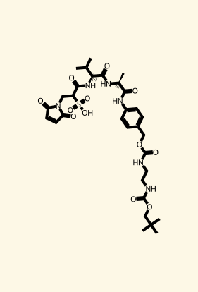 CC(C)[C@H](NC(=O)C(CN1C(=O)C=CC1=O)S(=O)(=O)O)C(=O)N[C@@H](C)C(=O)Nc1ccc(COC(=O)NCCNC(=O)OCC(C)(C)C)cc1